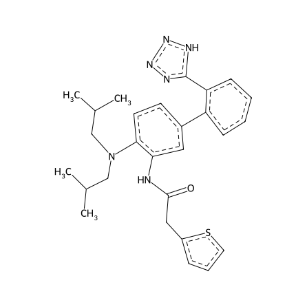 CC(C)CN(CC(C)C)c1ccc(-c2ccccc2-c2nnn[nH]2)cc1NC(=O)Cc1cccs1